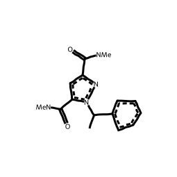 CNC(=O)c1cc(C(=O)NC)n(C(C)c2ccccc2)n1